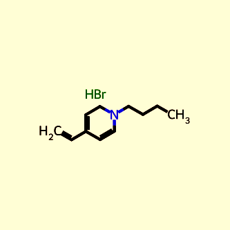 Br.C=CC1=CCN(CCCC)C=C1